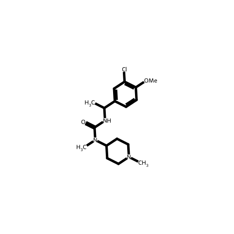 COc1ccc(C(C)NC(=O)N(C)C2CCN(C)CC2)cc1Cl